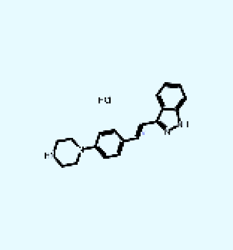 C(=C\c1n[nH]c2ccccc12)/c1ccc(N2CCNCC2)cc1.Cl